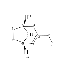 CCC1=C[C@@H]2C=C[C@H](C1)O2